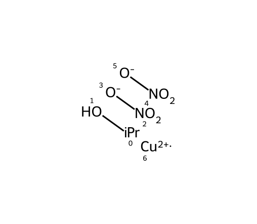 CC(C)O.O=[N+]([O-])[O-].O=[N+]([O-])[O-].[Cu+2]